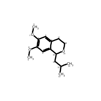 COc1cc2c(cc1OC)C(CC(C)C)OCC2